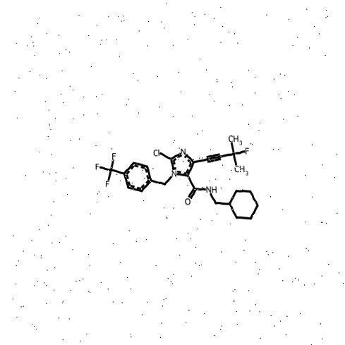 CC(C)(F)C#Cc1nc(Cl)n(Cc2ccc(C(F)(F)F)cc2)c1C(=O)NCC1CCCCC1